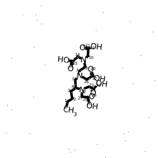 CCCCC(CN(CCN(CC(=O)O)CC(=O)O)CC(=O)O)N(CC(=O)O)CC(=O)O